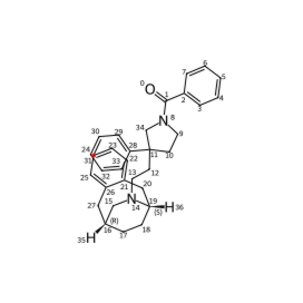 O=C(c1ccccc1)N1CCC(CCN2C[C@@H]3CC[C@H]2Cc2ccccc2C3)(c2ccccc2)C1